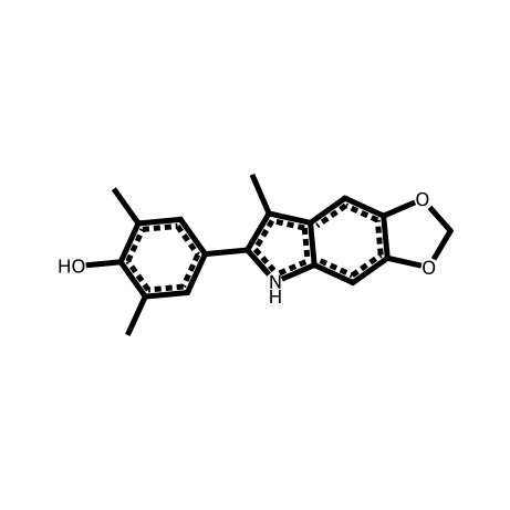 Cc1cc(-c2[nH]c3cc4c(cc3c2C)OCO4)cc(C)c1O